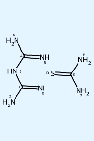 N=C(N)NC(=N)N.NC(N)=S